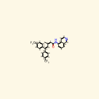 CC(=CC(=O)Nc1cccc2cnccc12)C=C(c1ccc(C(F)(F)F)cc1)c1ccc(C(F)(F)F)cc1